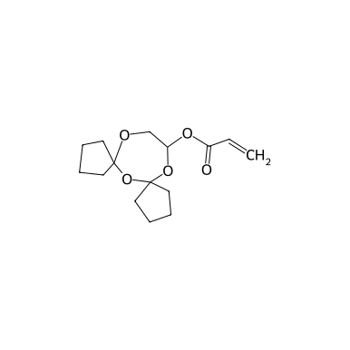 C=CC(=O)OC1COC2(CCCC2)OC2(CCCC2)O1